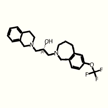 O[C@H](CN1CCCc2cc(OC(F)(F)F)ccc2C1)CN1CCc2ccccc2C1